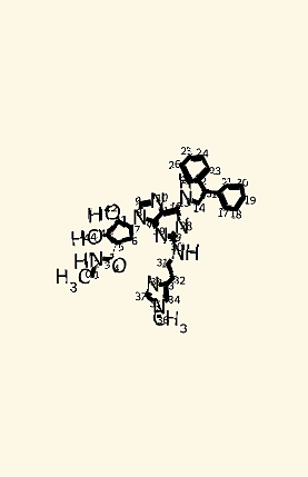 CCNC(=O)[C@H]1C[C@@H](n2cnc3c(NCC(c4ccccc4)c4ccccc4)nc(NCCc4cn(C)cn4)nc32)[C@H](O)[C@@H]1O